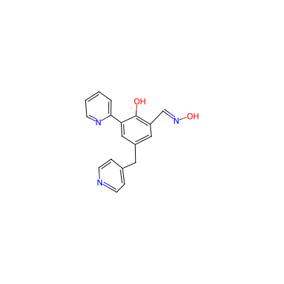 O/N=C/c1cc(Cc2ccncc2)cc(-c2ccccn2)c1O